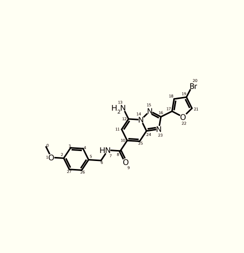 COc1ccc(CNC(=O)c2cc(N)n3nc(-c4cc(Br)co4)nc3c2)cc1